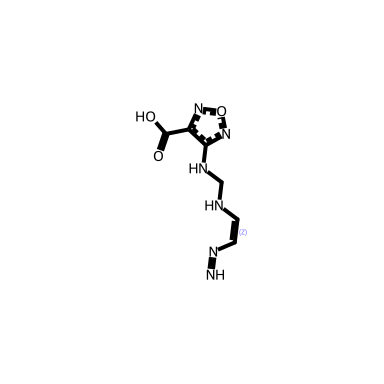 N=N/C=C\NCNc1nonc1C(=O)O